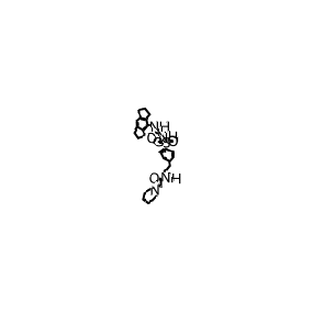 O=C(CN1CCCCCC1)NCCc1ccc(S(=O)(=O)NC(=O)Nc2c3c(cc4c2CCC4)CCC3)cc1